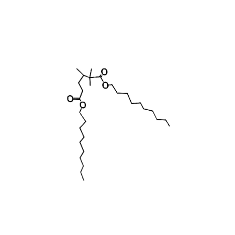 CCCCCCCCCCOC(=O)CCC(C)C(C)(C)C(=O)OCCCCCCCCCC